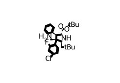 CC(C)(C)C[C@@H]1N[C@@H](C(=O)OC(C)(C)C)[C@H](c2ccccc2)[C@@]1(CN)c1ccc(Cl)cc1F